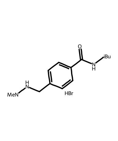 Br.CCC(C)NC(=O)c1ccc(CNNC)cc1